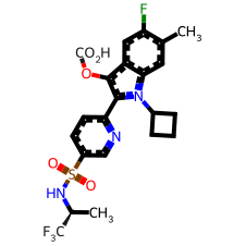 Cc1cc2c(cc1F)c(OC(=O)O)c(-c1ccc(S(=O)(=O)N[C@@H](C)C(F)(F)F)cn1)n2C1CCC1